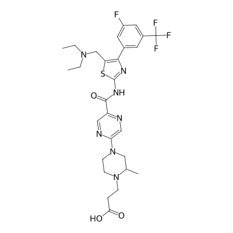 CCN(CC)Cc1sc(NC(=O)c2cnc(N3CCN(CCC(=O)O)C(C)C3)cn2)nc1-c1cc(F)cc(C(F)(F)F)c1